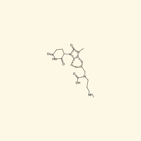 Cn1c(=O)n(C2CCC(=O)NC2=O)c2ccc(CN(CCCN)C(=O)O)cc21